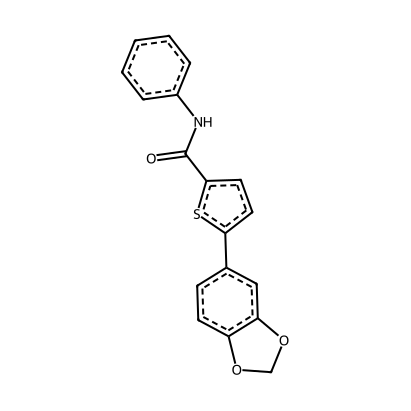 O=C(Nc1ccccc1)c1ccc(-c2ccc3c(c2)OCO3)s1